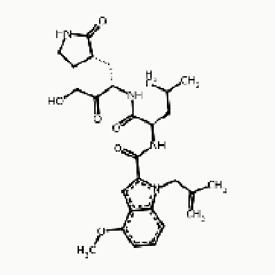 C=C(C)Cn1c(C(=O)N[C@H](CC(C)C)C(=O)N[C@@H](C[C@@H]2CCNC2=O)C(=O)CO)cc2c(OC)cccc21